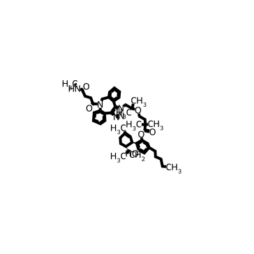 C=C(C)[C@@H]1CCC(C)=C[C@H]1c1c(O)cc(CCCCC)cc1OC(=O)C(C)(C)CCOC(C)(C)Cn1nnc2c1-c1ccccc1CN(C(=O)CCC(=O)NC)c1ccccc1-2